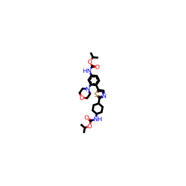 CC(C)OC(=O)Nc1ccc(-c2cnc(C3CCC(NC(=O)OC(C)C)CC3)s2)c(N2CCOCC2)c1